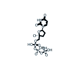 O=c1ccn([C@H]2CC[C@@](Cl)(COP(=O)(O)OP(=O)(O)OP(=O)(O)O)O2)c(=O)[nH]1